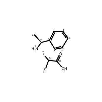 C[C@H](N)c1ccccc1.O=C(O)C(F)Br